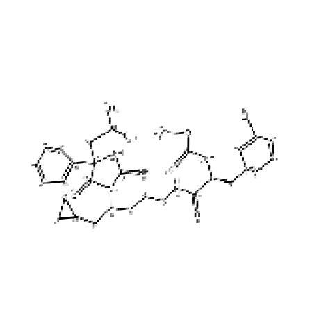 COC(=O)N[C@@H](Cc1cccc(Cl)c1)C(=O)NCCCC(CC1CC1)N1C(=N)NC(CC(C)C)(c2ccccc2)C1=O